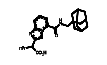 CCCC(C(=O)O)c1cn2c(C(=O)NCC34CC5CC(CC(C5)C3)C4)cccc2n1